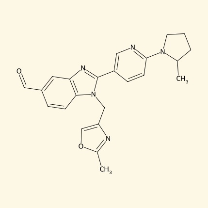 Cc1nc(Cn2c(-c3ccc(N4CCCC4C)nc3)nc3cc(C=O)ccc32)co1